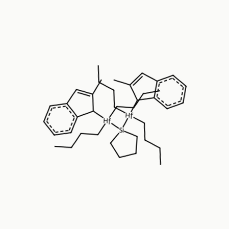 CCC[CH2][Hf]([CH2]CCC)([CH]1C(C)=Cc2ccccc21)[Si]1([Hf]([CH2]CCC)([CH2]CCC)[CH]2C(C)=Cc3ccccc32)CCCC1